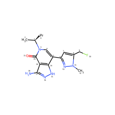 CC(C)[C@H](C)n1cc(-c2cc(CF)n(C)n2)c2[nH]nc(N)c2c1=O